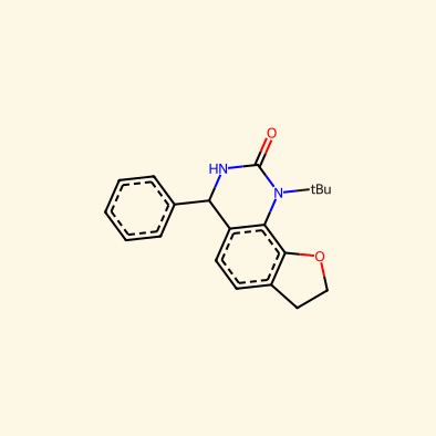 CC(C)(C)N1C(=O)NC(c2ccccc2)c2ccc3c(c21)OCC3